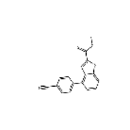 COC(=O)c1cc2c(-c3ccc(C#N)cc3)cccc2s1